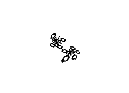 c1ccc(-c2nc(-c3ccccc3)nc(-n3c4ccccc4c4cc(-c5ccc6c(c5)c5c(c(-c7ccccc7)c7c8ccccc8c8ccccc8n75)n6-c5ccccc5)ccc43)n2)cc1